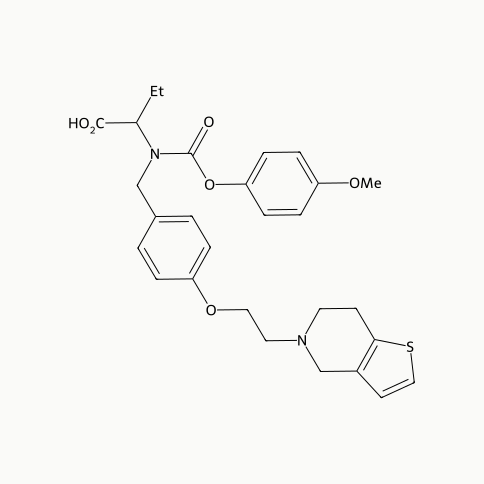 CCC(C(=O)O)N(Cc1ccc(OCCN2CCc3sccc3C2)cc1)C(=O)Oc1ccc(OC)cc1